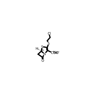 O=C([O-])C1=C(SCCCl)S[C@@H]2CC(=O)N12.[Na+]